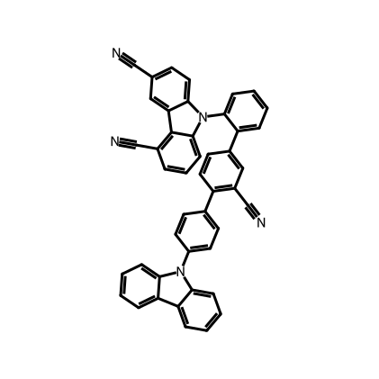 N#Cc1ccc2c(c1)c1c(C#N)cccc1n2-c1ccccc1-c1ccc(-c2ccc(-n3c4ccccc4c4ccccc43)cc2)c(C#N)c1